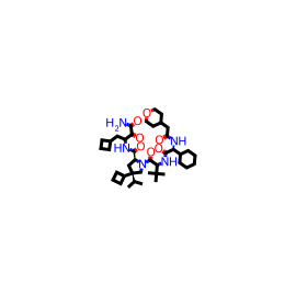 CC(C)[C@@]1(C2CCC2)C[C@@H](C(=O)NC(CC2CCC2)C(=O)C(N)=O)N(C(=O)C(NC(=O)[C@@H](NC(=O)CC2CCOCC2)C2CCCCC2)C(C)(C)C)C1